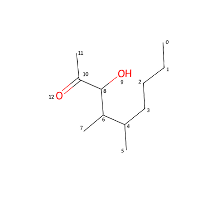 CCCCC(C)C(C)C(O)C(C)=O